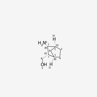 N[C@@H]1[C@H]2CC[C@H](C2)[C@@H]1CO